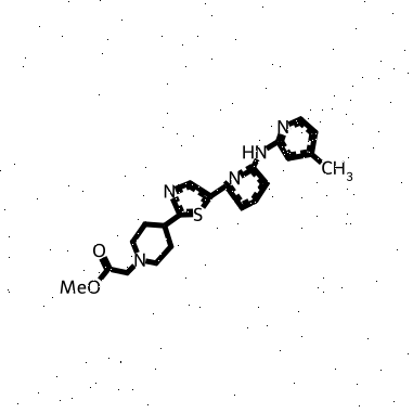 COC(=O)CN1CCC(c2ncc(-c3cccc(Nc4cc(C)ccn4)n3)s2)CC1